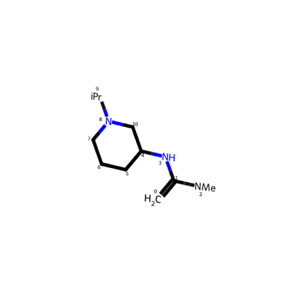 C=C(NC)NC1CCCN(C(C)C)C1